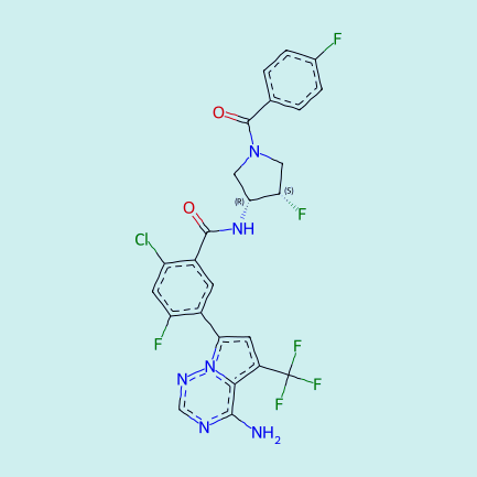 Nc1ncnn2c(-c3cc(C(=O)N[C@@H]4CN(C(=O)c5ccc(F)cc5)C[C@@H]4F)c(Cl)cc3F)cc(C(F)(F)F)c12